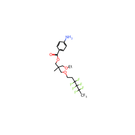 CCOCC(C)(COCCC(F)(F)C(F)(F)C(F)(F)C(F)(F)F)COC(=O)c1ccc(N)cc1